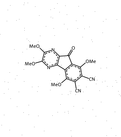 COc1nc2c(nc1OC)-c1c(OC)c(C#N)c(C#N)c(OC)c1C2=O